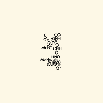 CN[C@@H](C)C(=O)NC(C(=O)N1Cc2cc(NC(=O)c3ccc(C(=O)N[C@H]4C[C@@H](C(=O)N[C@@H]5CCCc6ccccc65)N(C(=O)[C@@H](NC(=O)[C@H](C)NC)C(C)(C)C)C4)cc3)ccc2C[C@H]1C(=O)N[C@@H]1CCCc2ccccc21)C(C)(C)SCC(=O)N1CCCCC1